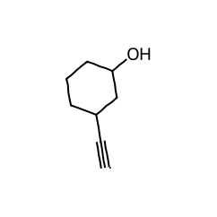 [C]#CC1CCCC(O)C1